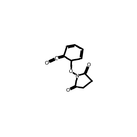 O=C=C1[C]=CC=CC1ON1C(=O)CCC1=O